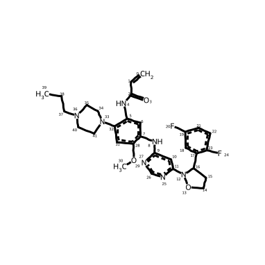 C=CC(=O)Nc1cc(Nc2cc(N3OCCC3c3cc(F)ccc3F)ncn2)c(OC)cc1N1CCN(CCC)CC1